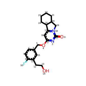 O=c1nc(OCc2ccc(F)c(CCO)c2)cc2n1CC1CCCCC21